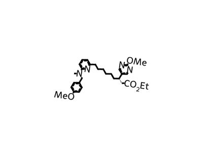 CCOC(=O)C[C@H](CCCCCCc1cccc(N(C)Cc2ccc(OC)cc2)n1)c1cnc(OC)nc1